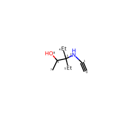 C#CNC(CC)(CC)C(C)O